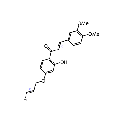 CC/C=C/COc1ccc(C(=O)/C=C/c2ccc(OC)c(OC)c2)c(O)c1